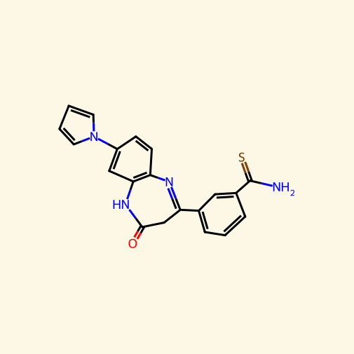 NC(=S)c1cccc(C2=Nc3ccc(-n4cccc4)cc3NC(=O)C2)c1